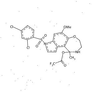 COc1cc2c(ccn2S(=O)(=O)c2ccc(Cl)cc2Cl)c2c1OCCNC2(C)OC(=O)C(F)(F)F